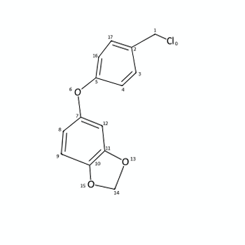 ClCc1ccc(Oc2ccc3c(c2)OCO3)cc1